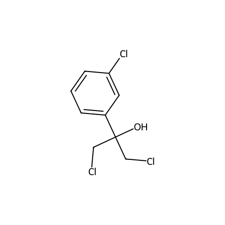 OC(CCl)(CCl)c1cccc(Cl)c1